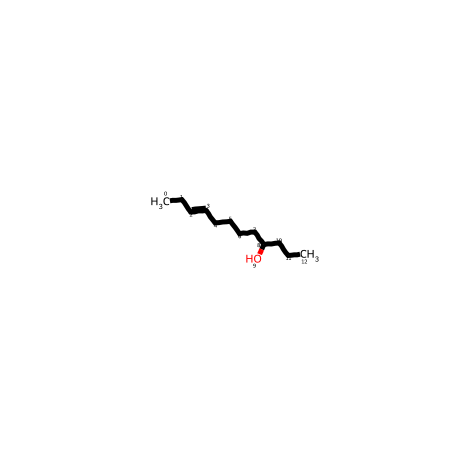 CCC=CCCCCC(O)CCC